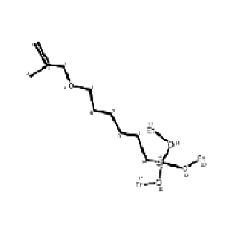 C=C(C)COCCCCCC[Si](OCC)(OCC)OCC